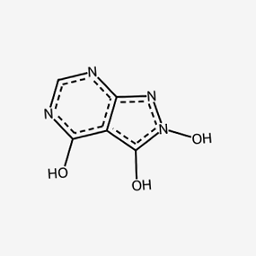 Oc1ncnc2nn(O)c(O)c12